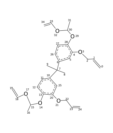 C=CCOc1cc(C(C)(C)c2ccc(OC(C)OC=C)c(OCC=C)c2)ccc1OC(C)OC=C